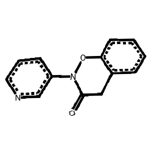 O=C1Cc2ccccc2ON1c1cccnc1